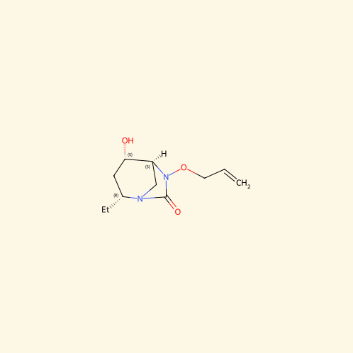 C=CCON1C(=O)N2C[C@H]1[C@@H](O)C[C@H]2CC